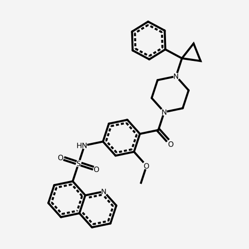 COc1cc(NS(=O)(=O)c2cccc3cccnc23)ccc1C(=O)N1CCN(C2(c3ccccc3)CC2)CC1